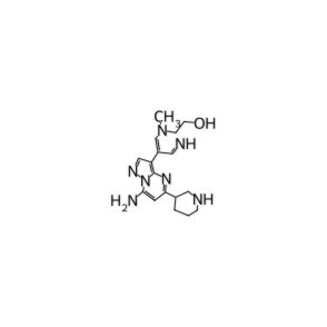 CN(/C=C(\C=N)c1cnn2c(N)cc(C3CCCNC3)nc12)CCO